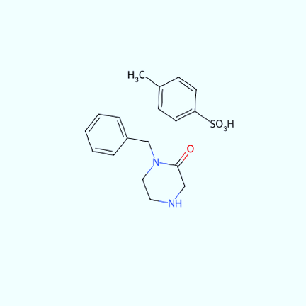 Cc1ccc(S(=O)(=O)O)cc1.O=C1CNCCN1Cc1ccccc1